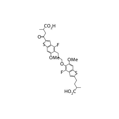 COc1cc2sc(C(=O)CC(C)C(=O)O)cc2c(F)c1CCCOc1c(OC)cc2sc(CCC(C)C(=O)O)cc2c1F